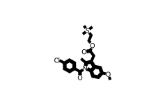 COc1ccc2c(c1)c(CC(=O)OCCS(C)(C)C)c(C)n2C(=O)c1ccc(Cl)cc1